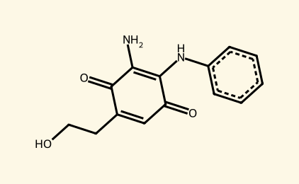 NC1=C(Nc2ccccc2)C(=O)C=C(CCO)C1=O